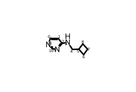 c1cc(NCC2CCC2)ncn1